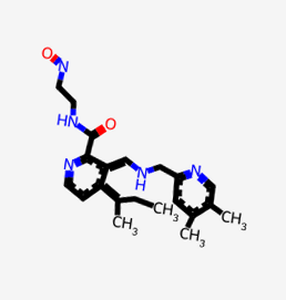 CC/C(C)=c1/ccnc(C(=O)NCCN=O)/c1=C/NCc1cc(C)c(C)cn1